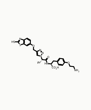 CC(C)[C@@H](C(=O)N[C@@H](Cc1ccc(OCCN)cc1)C(=O)O)n1cc(COc2ccc3nc(S)sc3c2)nn1